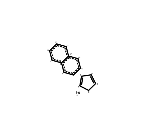 C1=CCC=C1.[Fe].c1ccc2ccccc2c1